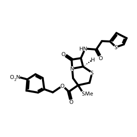 CSC1(C(=O)OCc2ccc([N+](=O)[O-])cc2)CS[C@@H]2C(NC(=O)Cc3cccs3)C(=O)N2C1